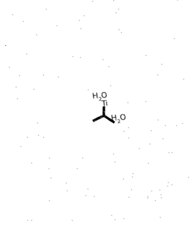 C[CH](C)[Ti].O.O